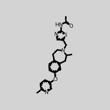 CC(=O)Nc1ncc(CN2CCc3ccc(Oc4ccc(C)nc4)cc3CC2C)s1